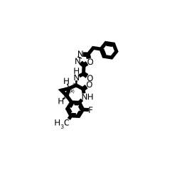 Cc1cc(F)c2c(c1)[C@H]1C[C@H]1[C@@H](NC(=O)c1nnc(CC3=CCCC=C3)o1)C(=O)N2